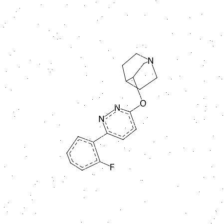 Fc1ccccc1-c1ccc(OC2CN3CCC2CC3)nn1